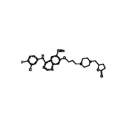 COc1cc2c(Nc3ccc(F)c(Cl)c3)ncnc2cc1OCCCN1CCN(CC2CCC(=O)O2)CC1